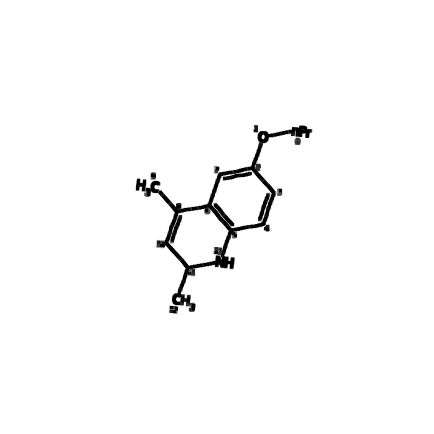 CCCOc1ccc2c(c1)C(C)=CC(C)N2